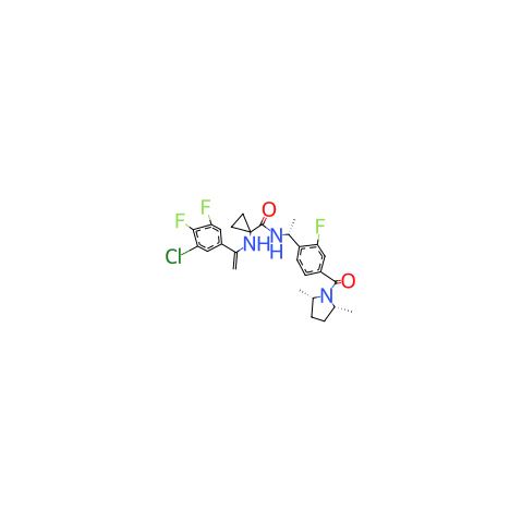 C=C(NC1(C(=O)N[C@H](C)c2ccc(C(=O)N3[C@H](C)CC[C@@H]3C)cc2F)CC1)c1cc(F)c(F)c(Cl)c1